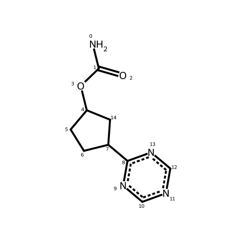 NC(=O)OC1CCC(c2ncncn2)C1